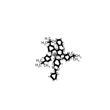 CC(C)(C)c1ccc(Nc2ccc(C(C)(C)C)cc2-c2c3c4c(c5cc(C(C)(C)C)ccc5n4-c4cc5oc(-c6ccccc6)nc5cc4B3)c3sc4ccccc4c23)cc1